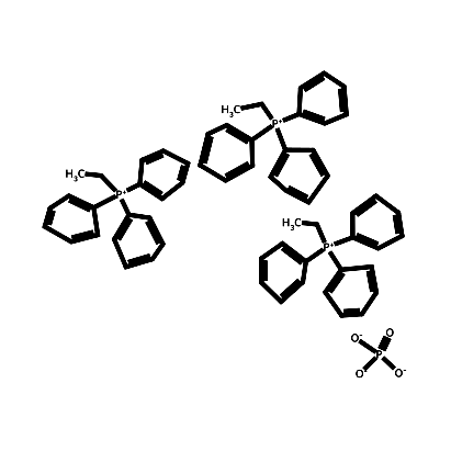 CC[P+](c1ccccc1)(c1ccccc1)c1ccccc1.CC[P+](c1ccccc1)(c1ccccc1)c1ccccc1.CC[P+](c1ccccc1)(c1ccccc1)c1ccccc1.O=P([O-])([O-])[O-]